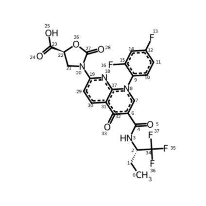 CC[C@H](NC(=O)c1cn(-c2ccc(F)cc2F)c2nc(N3C[C@@H](C(=O)O)OC3=O)ccc2c1=O)C(F)(F)F